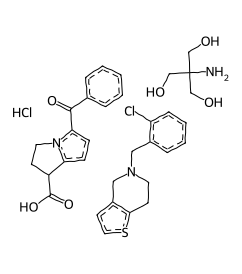 Cl.Clc1ccccc1CN1CCc2sccc2C1.NC(CO)(CO)CO.O=C(c1ccccc1)c1ccc2n1CCC2C(=O)O